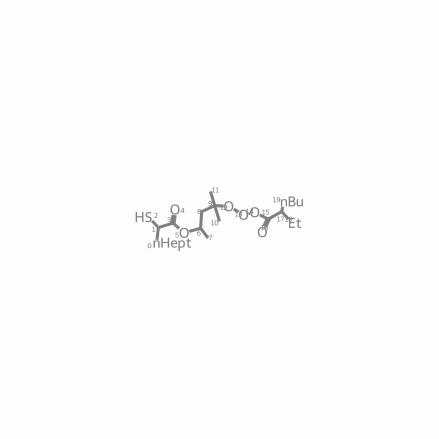 CCCCCCCC(S)C(=O)OC(C)CC(C)(C)OOOC(=O)C(CC)CCCC